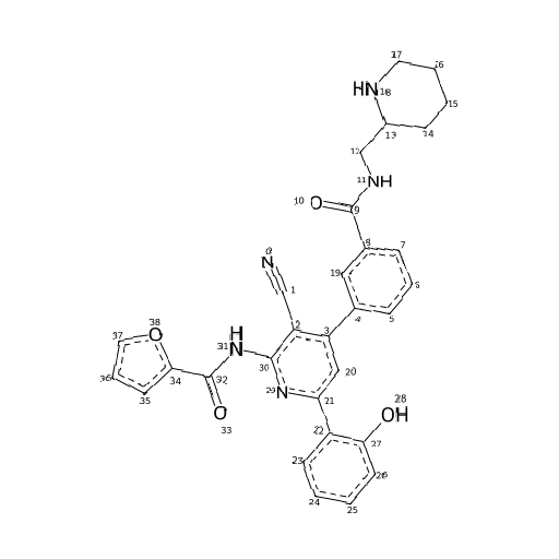 N#Cc1c(-c2cccc(C(=O)NCC3CCCCN3)c2)cc(-c2ccccc2O)nc1NC(=O)c1ccco1